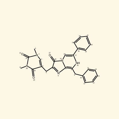 Cn1cc(Cc2nc3c(Cc4ccccc4)[nH]c(-c4ccccc4)cn-3c2=O)c(=O)n(C)c1=O